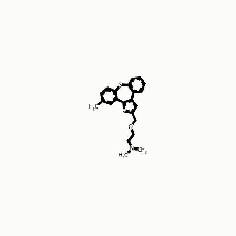 Cc1ccc2c(c1)-c1sc(COCCN(C)C)cc1-c1ccccc1S2